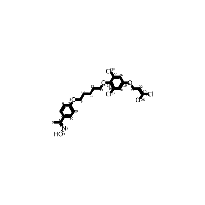 CC(=NO)c1ccc(OCCCCCOc2c(Cl)cc(OCC=C(Cl)Cl)cc2Cl)cc1